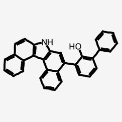 Oc1c(-c2ccccc2)cccc1-c1cc2[nH]c3ccc4ccccc4c3c2c2ccccc12